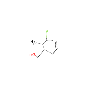 CC1C(F)C=CCC1CO